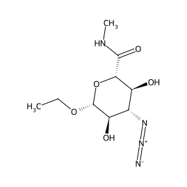 CCO[C@@H]1O[C@H](C(=O)NC)[C@@H](O)[C@H](N=[N+]=[N-])[C@H]1O